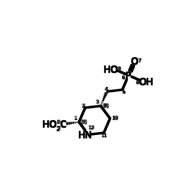 O=C(O)[C@@H]1C[C@H](CCP(=O)(O)O)CCN1